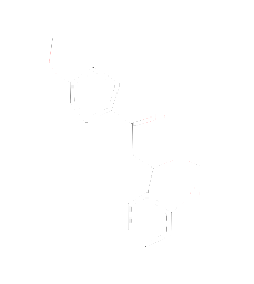 COc1ccc(C(=O)CC(OC)c2ccccc2O)cc1